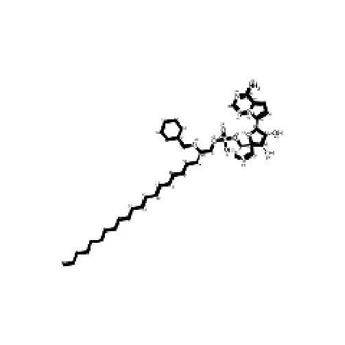 CCCCCCCCCCCCCCCCCCCC[C@H](COP(=O)(O)OC[C@@]1(/C=N\C)O[C@@H](c2ccc3c(N)ncnn23)[C@H](O)[C@@H]1O)OCC1CCCCC1